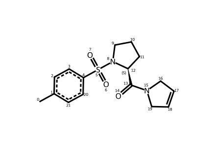 Cc1ccc(S(=O)(=O)N2CCC[C@H]2C(=O)N2CC=CC2)cc1